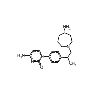 CC(CN1CCC[C@H](N)CC1)c1ccc(-n2ccc(N)nc2=O)cc1